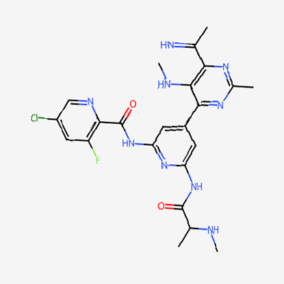 CNc1c(C(C)=N)nc(C)nc1-c1cc(NC(=O)c2ncc(Cl)cc2F)nc(NC(=O)C(C)NC)c1